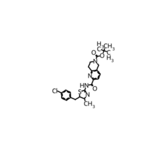 CC1N=C(NC(=O)c2ccc3c(n2)CCN(C(=O)OC(C)(C)C)C3)SC1Cc1ccc(Cl)cc1